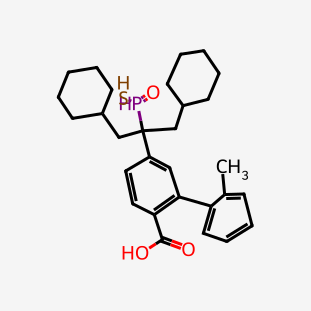 Cc1ccccc1-c1cc(C(CC2CCCCC2)(CC2CCCCC2)[PH](=O)S)ccc1C(=O)O